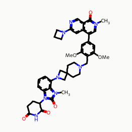 COc1cc(-c2cn(C)c(=O)c3cnc(N4CCC4)cc23)cc(OC)c1CN1CCC2(CC1)CN(c1cccc3c1n(C)c(=O)n3C1CCC(=O)NC1=O)C2